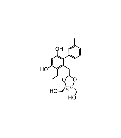 CCc1c(O)cc(O)c(-c2cccc(C)c2)c1CC1O[C@H](CO)[C@@H](CO)O1